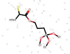 CCCCCCC(S)C(=O)OCCC[Si](OCC)(OCC)OCC